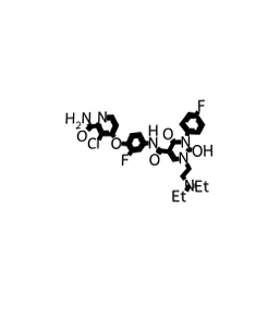 CCN(CC)CCN1C=C(C(=O)Nc2ccc(Oc3ccnc(C(N)=O)c3Cl)c(F)c2)C(=O)N(c2ccc(F)cc2)C1O